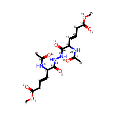 COC(=O)C/C=C/C(NC(C)=O)C(=O)NNC(=O)C(/C=C/CC(=O)OC)NC(C)=O